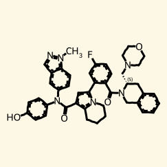 Cn1ncc2cc(N(C(=O)c3cc(-c4cc(F)ccc4C(=O)N4Cc5ccccc5C[C@H]4CN4CCOCC4)n4c3CCCC4)c3ccc(O)cc3)ccc21